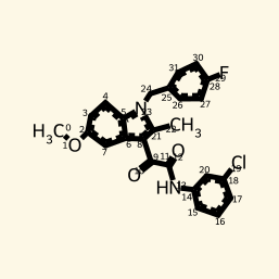 COc1ccc2c(c1)c(C(=O)C(=O)Nc1cccc(Cl)c1)c(C)n2Cc1ccc(F)cc1